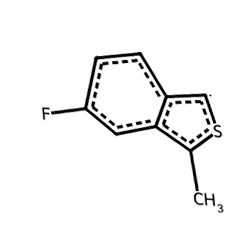 Cc1s[c]c2ccc(F)cc12